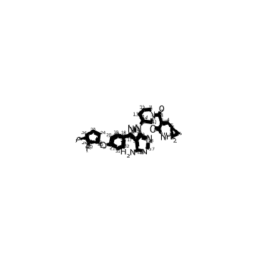 NC(=O)C(=CC1CC1)C(=O)N1CCCC(n2nc(-c3ccc(Oc4cccc(F)c4F)cc3)c3c(N)ncnc32)C1